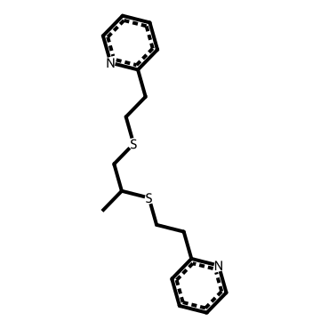 CC(CSCCc1ccccn1)SCCc1ccccn1